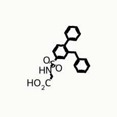 O=C(O)CNS(=O)(=O)c1ccc(-c2ccccc2)c(Cc2ccccc2)c1